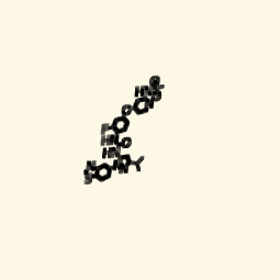 CC(C)c1cc(NC(=O)Nc2ccc(Oc3ccnc(NS(C)(=O)=O)c3)cc2F)n(-c2ccc3scnc3c2)n1